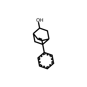 OC1CC2CCC1C=C2c1ccccc1